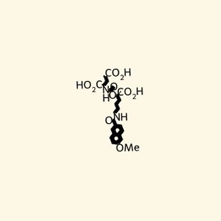 COc1ccc2cc(C(=O)NCCCC[C@H](OC(=O)N[C@@H](CCC(=O)O)C(=O)O)C(=O)O)ccc2c1